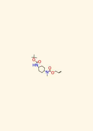 C=CCOC(=O)N(C)C1CCC(NC(=O)OC(C)(C)C)CC1